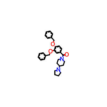 O=C(c1ccc(OCc2ccccc2)c(OCc2ccccc2)c1)N1CCC(N2CCCC2)CC1